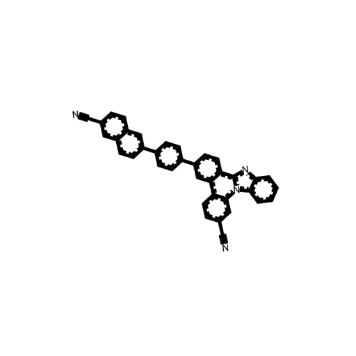 N#Cc1ccc2cc(-c3ccc(-c4ccc5c(c4)c4ccc(C#N)cc4n4c6ccccc6nc54)cc3)ccc2c1